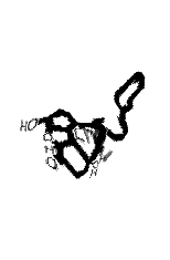 C[N+]1(CC#Cc2ccccc2)CC[C@]23c4c5ccc(O)c4O[C@H]2C(=O)CC[C@@]3(O)[C@H]1C5